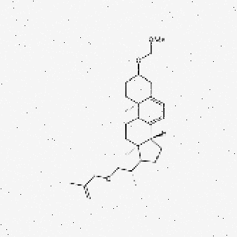 C=C(C)COC[C@@H](C)C1CC[C@H]2C3=CC=C4CC(OCOC)CC[C@]4(C)C3CC[C@]12C